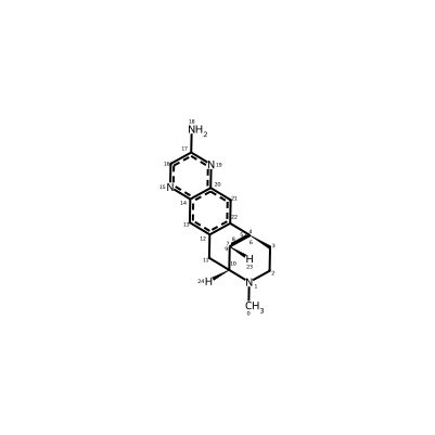 CN1CC[C@]23CCCC[C@H]2[C@H]1Cc1cc2ncc(N)nc2cc13